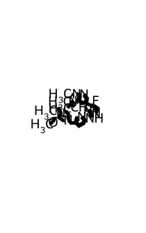 CCN1CCN(Cc2ccc(Nc3ncc(F)c(-c4cnc5nc(C)n(C(C)(C)C)c5c4)n3)nc2)C[C@H]1COC